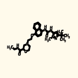 CCNC(=O)C1CN(CCOc2ccc(NC(=O)Nc3cc(C(C)(C)C)nn3C)c3ccccc23)CCO1